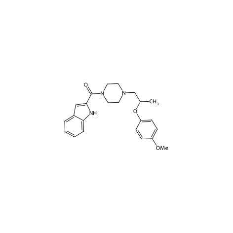 COc1ccc(OC(C)CN2CCN(C(=O)c3cc4ccccc4[nH]3)CC2)cc1